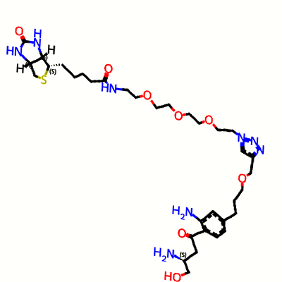 Nc1cc(CCCOCc2cn(CCOCCOCCOCCNC(=O)CCCC[C@@H]3SC[C@@H]4NC(=O)N[C@@H]43)nn2)ccc1C(=O)C[C@H](N)CO